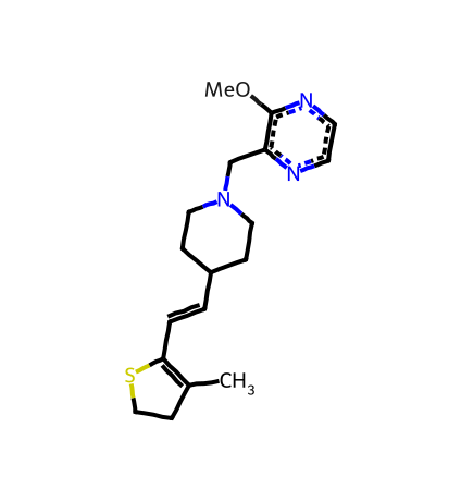 COc1nccnc1CN1CCC(/C=C/C2=C(C)CCS2)CC1